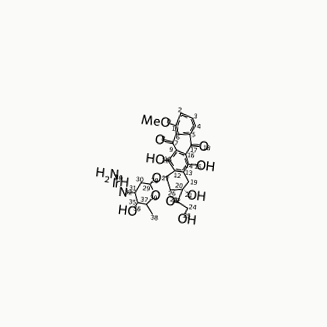 COc1cccc2c1C(=O)c1c(O)c3c(c(O)c1C2=O)C[C@@](O)(C(=O)CO)C[C@@H]3OC1CC([NH][Ir][NH2])C(O)C(C)O1